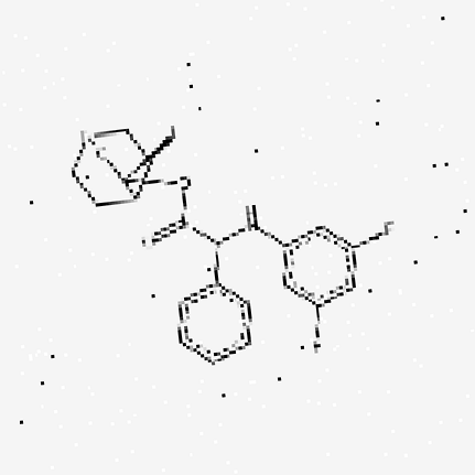 O=C(O[C@H]1CN2CCC1CC2)C(Nc1cc(F)cc(F)c1)c1ccccc1